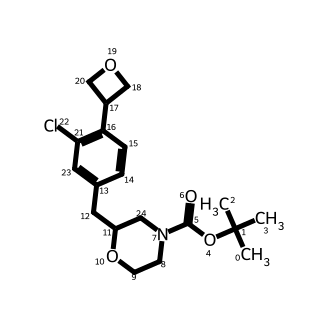 CC(C)(C)OC(=O)N1CCOC(Cc2ccc(C3COC3)c(Cl)c2)C1